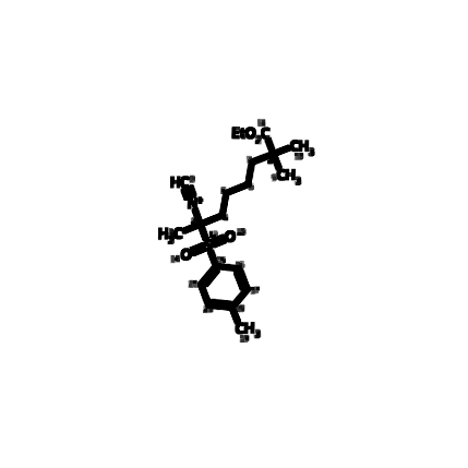 C#[N+]C(C)(CCCCC(C)(C)C(=O)OCC)S(=O)(=O)c1ccc(C)cc1